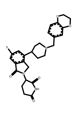 O=C1CCC(N2Cc3c(cc(F)cc3C3CCN(Cc4ccc5c(c4)OCCO5)CC3)C2=O)C(=O)N1